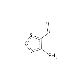 C=Cc1sccc1P